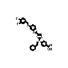 O=C(O)c1ccc(N(CCC2CCCCC2)c2nc(-c3nc4ccc(OCc5ccc(Cl)c(Cl)c5)cc4o3)cs2)cc1